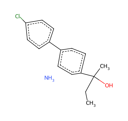 CCC(C)(O)c1ccc(-c2ccc(Cl)cc2)cc1.N